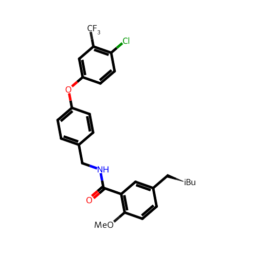 CC[C@H](C)Cc1ccc(OC)c(C(=O)NCc2ccc(Oc3ccc(Cl)c(C(F)(F)F)c3)cc2)c1